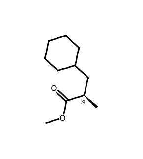 COC(=O)[C@H](C)CC1CCCCC1